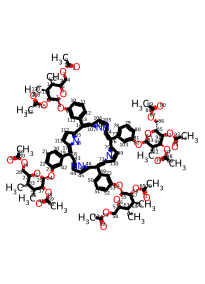 CC(=O)OCC1O[C@@H](Oc2cccc(-c3c4nc(c(-c5cccc(O[C@@H]6OC(COC(C)=O)[C@@H](C)[C@H](C)C6OC(C)=O)c5)c5ccc([nH]5)c(-c5cccc(O[C@@H]6OC(COC(C)=O)[C@@H](C)[C@H](C)C6OC(C)=O)c5)c5nc(c(-c6cccc(OC7O[C@H](COC(C)=O)C(OC(C)=O)[C@@H](OC(C)=O)[C@H]7C)c6)c6ccc3[nH]6)C=C5)C=C4)c2)C(OC(C)=O)[C@@H](C)[C@@H]1C